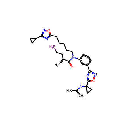 C=C(C)NC1(c2nc(-c3cccc(N(CCCCCc4nc(C5CC5)no4)C(=O)C(=C)CCP)c3)no2)CC1